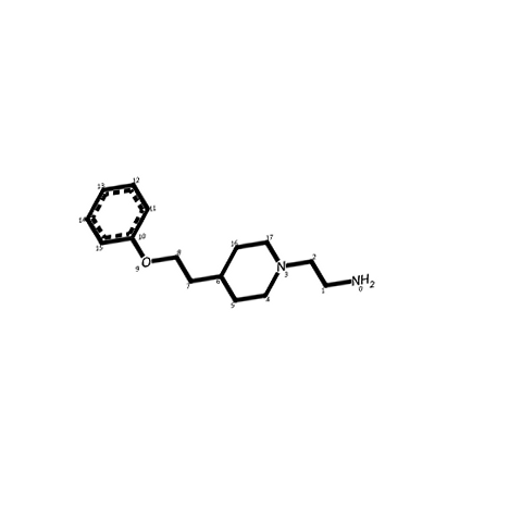 NCCN1CCC(CCOc2ccccc2)CC1